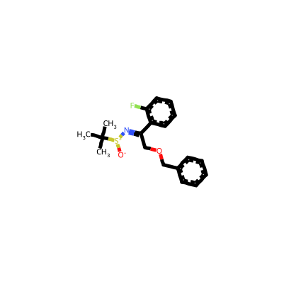 CC(C)(C)[S+]([O-])/N=C(\COCc1ccccc1)c1ccccc1F